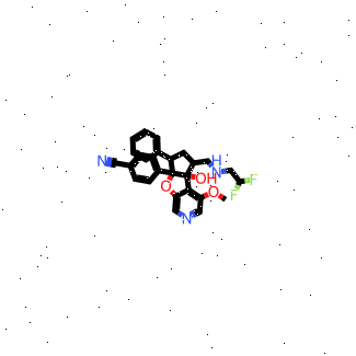 COc1cncc2c1C1(O)C(CNCC(F)F)CC(c3ccccc3)C1(c1ccc(C#N)cc1)O2